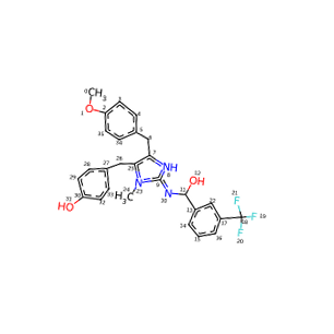 COc1ccc(Cc2[nH]/c(=N\C(O)c3cccc(C(F)(F)F)c3)n(C)c2Cc2ccc(O)cc2)cc1